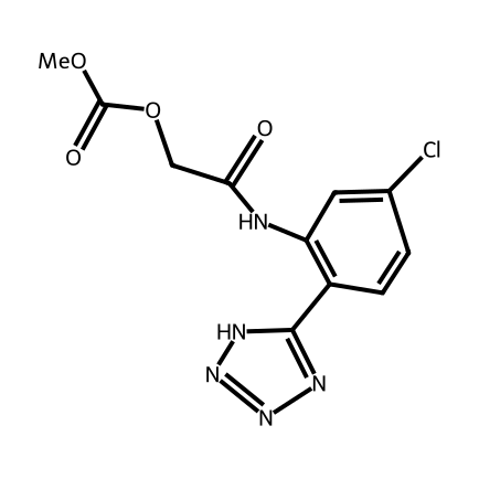 COC(=O)OCC(=O)Nc1cc(Cl)ccc1-c1nnn[nH]1